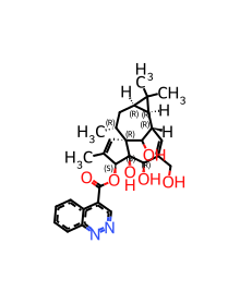 CC1=C[C@]23C(O)[C@@H](C=C(CO)[C@@H](O)[C@]2(O)[C@H]1OC(=O)c1cnnc2ccccc12)[C@H]1[C@@H](C[C@H]3C)C1(C)C